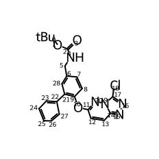 CC(C)(C)OC(=O)NCc1ccc(Oc2ccc3nnc(Cl)n3n2)c(-c2ccccc2)c1